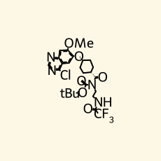 COc1cc2ncnc(Cl)c2cc1O[C@H]1CC[C@@H](C(=O)N(CCNC(=O)C(F)(F)F)C(=O)OC(C)(C)C)CC1